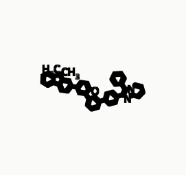 CC1(C)c2ccccc2-c2ccc(-c3ccc4oc5c(-c6ccc(-c7nc8ccccn8c7-c7ccccc7)cc6)cccc5c4c3)cc21